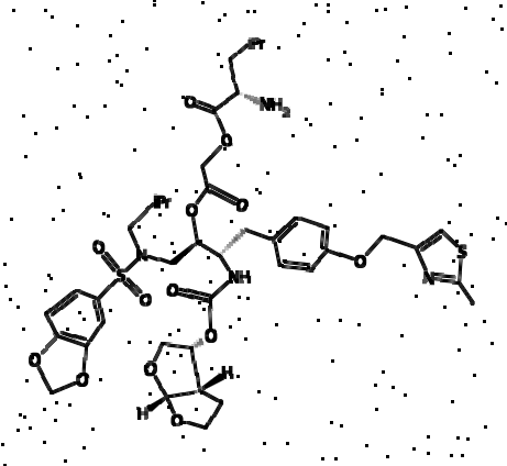 Cc1nc(COc2ccc(C[C@H](NC(=O)O[C@H]3CO[C@H]4OCC[C@H]43)[C@@H](CN(CC(C)C)S(=O)(=O)c3ccc4c(c3)OCO4)OC(=O)COC(=O)[C@@H](N)CC(C)C)cc2)cs1